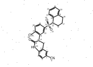 N#Cc1ccc2c(c1)CN(c1cc(S(=O)(=O)N3CCCc4ccccc43)ccc1Cl)C(=O)N2